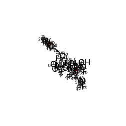 COC(=O)N[C@H](C(=O)N[C@@H](Cc1ccc(C#Cc2ccc(N3CC4CCC(C3)N4C3COC3)nc2)cc1)[C@@H](O)CN(Cc1c(F)cc(-c2cnn(C(F)F)c2)cc1F)NC(=O)[C@@H](NC(=O)O)C(C)(C)CF)C(C)(C)CF